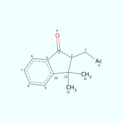 CC(=O)CC1C(=O)c2ccccc2C1(C)C